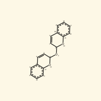 C1=CC(OC2C=Cc3ccccc3O2)Oc2ccccc21